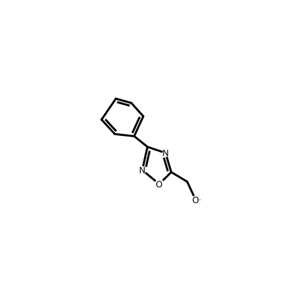 [O]Cc1nc(-c2ccccc2)no1